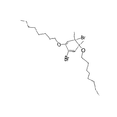 CCCCCCCCOC1=CC(C)(Br)C(C)(OCCCCCCCC)C=C1Br